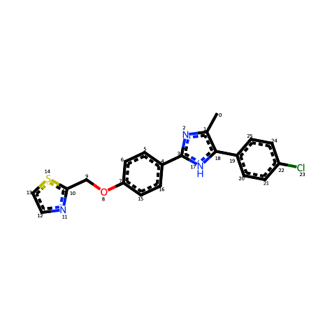 Cc1nc(-c2ccc(OCc3nccs3)cc2)[nH]c1-c1ccc(Cl)cc1